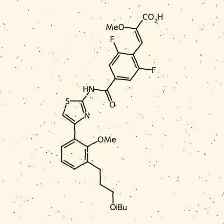 CO/C(=C\c1c(F)cc(C(=O)Nc2nc(-c3cccc(CCCOCC(C)C)c3OC)cs2)cc1F)C(=O)O